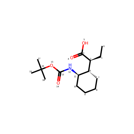 CC[C@H](C(=O)O)[C@@H]1CCCC[C@H]1NC(=O)OC(C)(C)C